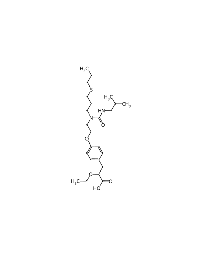 CCCSCCCN(CCOc1ccc(CC(OCC)C(=O)O)cc1)C(=O)NCC(C)C